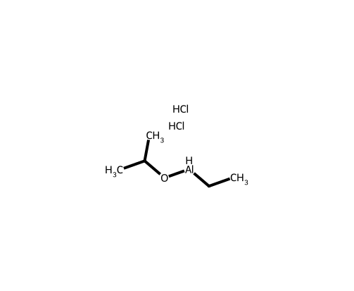 C[CH2][AlH][O]C(C)C.Cl.Cl